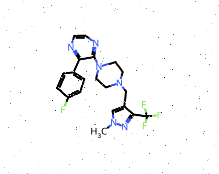 Cn1cc(CN2CCN(c3nccnc3-c3ccc(F)cc3)CC2)c(C(F)(F)F)n1